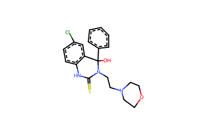 OC1(c2ccccc2)c2cc(Cl)ccc2NC(=S)N1CCN1CCOCC1